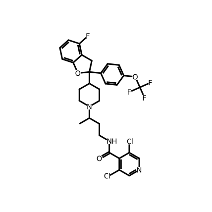 CC(CCNC(=O)c1c(Cl)cncc1Cl)N1CCC(C2(c3ccc(OC(F)(F)F)cc3)Cc3c(F)cccc3O2)CC1